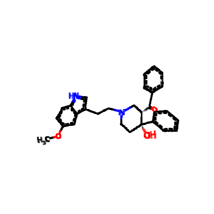 COc1ccc2[nH]cc(CCN3CC[C@](O)(c4ccccc4)[C@@H](C(=O)c4ccccc4)C3)c2c1